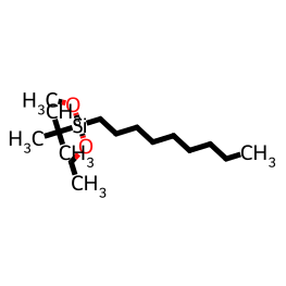 CCCCCCCCC[Si](OC)(OCC)C(C)(C)C